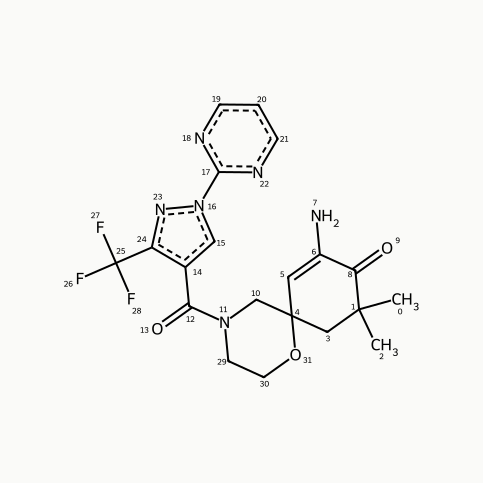 CC1(C)CC2(C=C(N)C1=O)CN(C(=O)c1cn(-c3ncccn3)nc1C(F)(F)F)CCO2